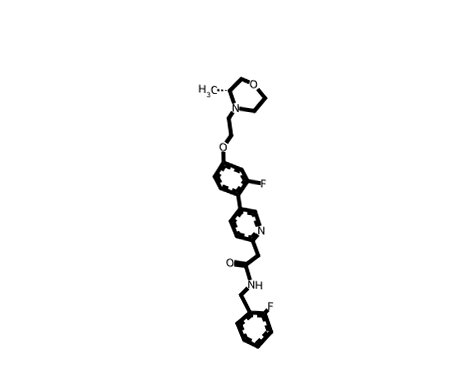 C[C@@H]1COCCN1CCOc1ccc(-c2ccc(CC(=O)NCc3ccccc3F)nc2)c(F)c1